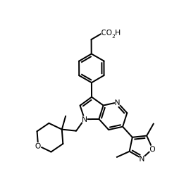 Cc1noc(C)c1-c1cnc2c(-c3ccc(CC(=O)O)cc3)cn(CC3(C)CCOCC3)c2c1